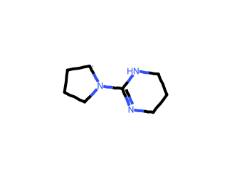 [CH]1CCCN1C1=NCCCN1